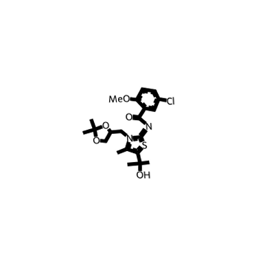 COc1ccc(Cl)cc1C(=O)N=c1sc(C(C)(C)O)c(C)n1CC1COC(C)(C)O1